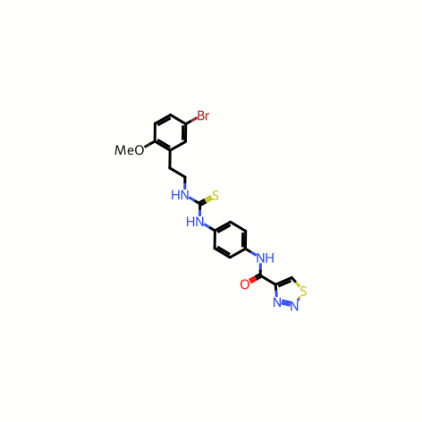 COc1ccc(Br)cc1CCNC(=S)Nc1ccc(NC(=O)c2csnn2)cc1